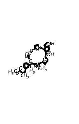 COC(=O)[C@@H](C)Cc1cccc(C2(C)CCC(F)(F)COc3ccn(n3)Cc3c(c(F)cc4[nH]ccc34)C(O)c3ccc(F)c(c3)-c3nc2nn3C)c1